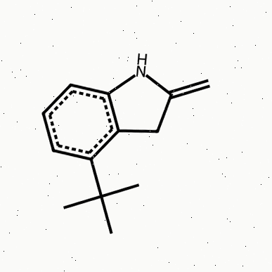 C=C1Cc2c(cccc2C(C)(C)C)N1